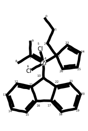 CCC[C]1([Zr]([Cl])([Cl])(=[C](C)C)[CH]2c3ccccc3-c3ccccc32)C=CC=C1